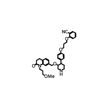 COCCCN1C(=O)CCc2ccc(COC3CNCCC3c3ccc(OCCCOc4ccccc4C#N)cc3)cc21